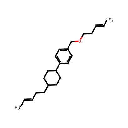 CC=CCCOCc1ccc(C2CCC(CCC=CC)CC2)cc1